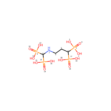 O=P(O)(O)C(CCNC(P(=O)(O)O)P(=O)(O)O)P(=O)(O)O